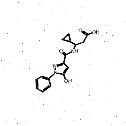 O=C(O)CC(NC(=O)c1cc(O)n(-c2ccccc2)n1)C1CC1